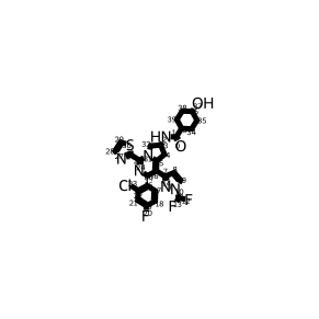 O=C(NC1CC2=C(c3ccn(C(F)F)n3)[C@H](c3ccc(F)cc3Cl)N=C(c3nccs3)N2C1)C1CCC(O)CC1